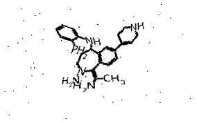 C/C(N)=C1\c2ccc(C3=CCNCC3)cc2C(Nc2ccccc2P)CCN1N